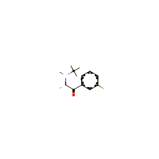 C[C@H](C(=O)c1cccc(Cl)c1)N(C)C(C)(C)C